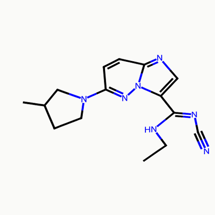 CCN/C(=N\C#N)c1cnc2ccc(N3CCC(C)C3)nn12